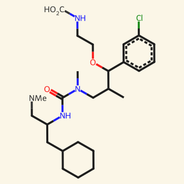 CNCC(CC1CCCCC1)NC(=O)N(C)CC(C)C(OCCNC(=O)O)c1cccc(Cl)c1